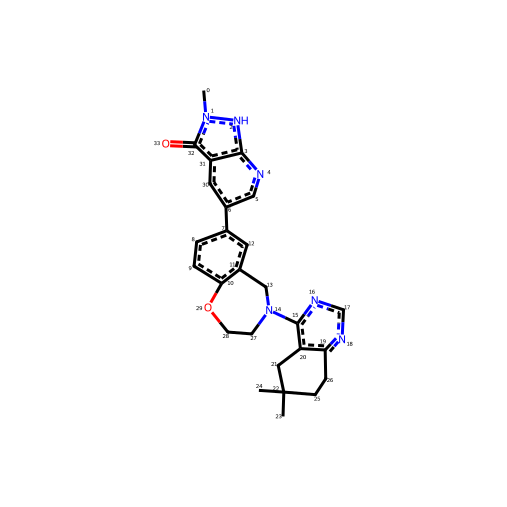 Cn1[nH]c2ncc(-c3ccc4c(c3)CN(c3ncnc5c3CC(C)(C)CC5)CCO4)cc2c1=O